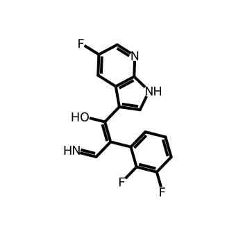 N=C/C(=C(\O)c1c[nH]c2ncc(F)cc12)c1cccc(F)c1F